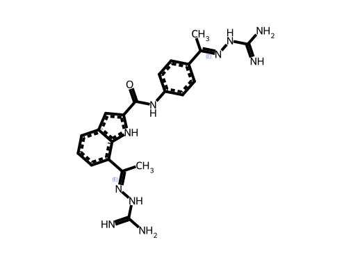 C/C(=N\NC(=N)N)c1ccc(NC(=O)c2cc3cccc(/C(C)=N/NC(=N)N)c3[nH]2)cc1